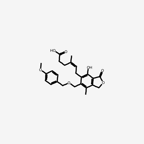 COc1ccc(COCc2c(C)c3c(c(O)c2CC=C(C)CCC(=O)O)C(=O)OC3)cc1